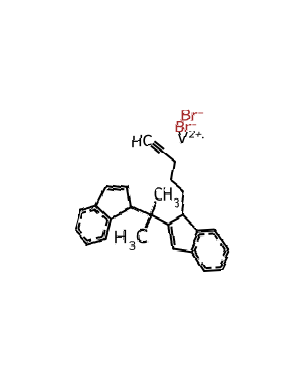 C#CCCCC1C(C(C)(C)C2C=Cc3ccccc32)=Cc2ccccc21.[Br-].[Br-].[V+2]